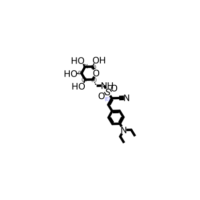 CCN(CC)c1ccc(/C=C(\C#N)S(=O)(=O)NC[C@H]2O[C@@H](O)[C@H](O)[C@@H](O)[C@@H]2O)cc1